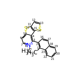 Cc1c(-c2c3c(cc[n+]2C)sc2ccsc23)ccc2ccccc12